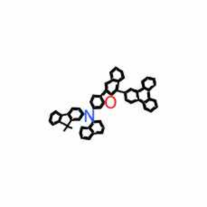 CC1(C)c2ccccc2-c2ccc(N(c3ccc4c(c3)oc3c(-c5ccc6c7ccccc7c7ccccc7c6c5)c5ccccc5cc34)c3cccc4ccccc34)cc21